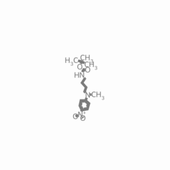 CN(CCCCNC(=O)OC(C)(C)C)c1ccc([N+](=O)[O-])cc1